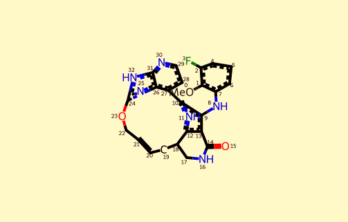 COc1c(F)cccc1Nc1c2[nH]c3c1C(=O)NCC3C/C=C/COc1nc3c-2ccnc3[nH]1